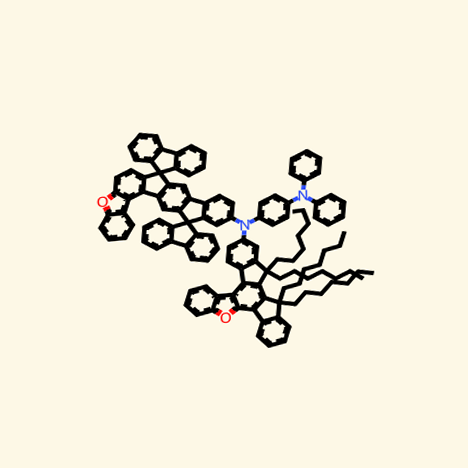 CCCCCCCC1(CCCCCCC)c2ccccc2-c2c1c1c(c3c2oc2ccccc23)-c2ccc(N(c3ccc(N(c4ccccc4)c4ccccc4)cc3)c3ccc4c(c3)C3(c5ccccc5-c5ccccc53)c3cc5c(cc3-4)C3(c4ccccc4-c4ccccc43)c3ccc4oc6ccccc6c4c3-5)cc2C1(CCCCCCC)CCCCCCC